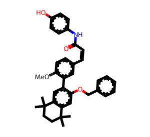 COc1ccc(/C=C\C(=O)Nc2ccc(O)cc2)cc1-c1cc2c(cc1OCc1ccccc1)C(C)(C)CCC2(C)C